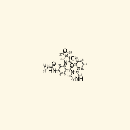 O=C(Nc1ccc(C(=O)N2CCNCC2c2cccc(Cl)c2)c(N2CCC3(COC3)C2)c1)C1CC1